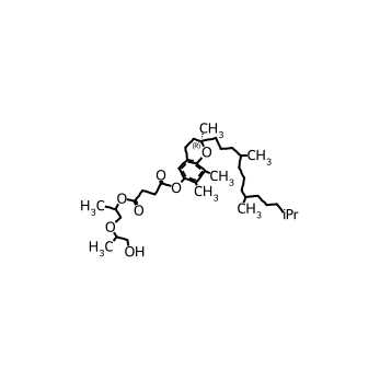 Cc1c(OC(=O)CCC(=O)OC(C)COC(C)CO)cc2c(c1C)O[C@](C)(CCCC(C)CCCC(C)CCCC(C)C)CC2